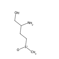 C[S+]([O-])CCC(N)CO